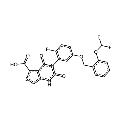 O=C(O)c1scc2[nH]c(=O)n(-c3cc(OCc4ccccc4OC(F)F)ccc3F)c(=O)c12